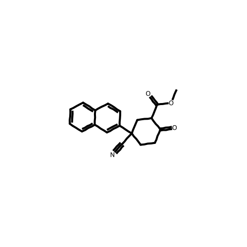 COC(=O)C1CC(C#N)(c2ccc3ccccc3c2)CCC1=O